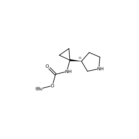 CC(C)(C)OC(=O)NC1([C@H]2CCNC2)CC1